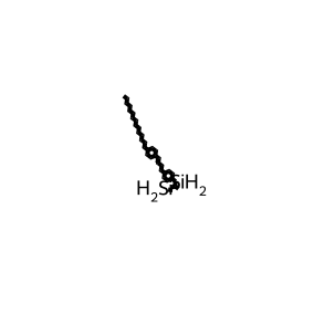 CCCCCCCCCCCCCCCC1CCC(C=CCCC2CCC([SiH2]C(C)[SiH2]C)CC2)CC1